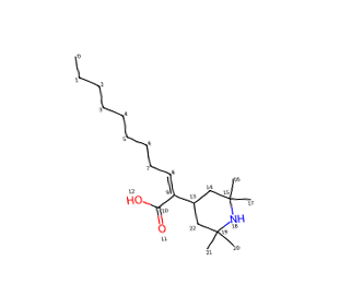 CCCCCCCCC=C(C(=O)O)C1CC(C)(C)NC(C)(C)C1